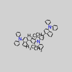 CC1(C)c2ccccc2N2c3ccc(-c4ccc(N(c5ccccc5)c5ccccc5)c5ccccc45)cc3C(C)(C)c3cc(-c4ccc(N(c5ccccc5)c5ccccc5)c5ccccc45)cc1c32